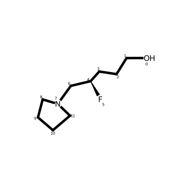 OCCC[C@@H](F)CN1CCCC1